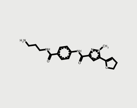 Cn1nc(C(=O)Nc2ccc(C(=O)NCCCN)cc2)cc1C1=CCCO1